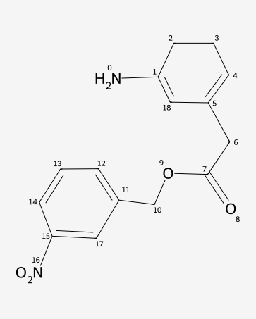 Nc1cccc(CC(=O)OCc2cccc([N+](=O)[O-])c2)c1